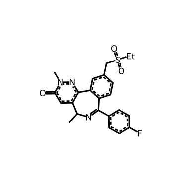 CCS(=O)(=O)Cc1ccc2c(c1)-c1nn(C)c(=O)cc1C(C)N=C2c1ccc(F)cc1